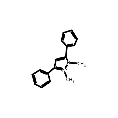 Cn1c(-c2ccccc2)cc(-c2ccccc2)[n+]1C